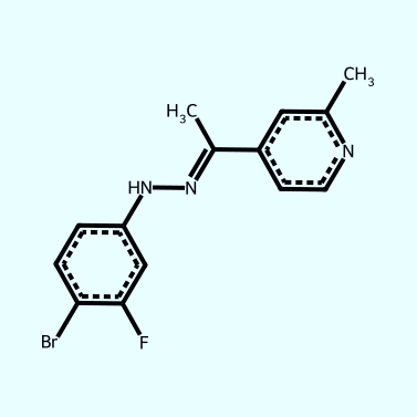 C/C(=N\Nc1ccc(Br)c(F)c1)c1ccnc(C)c1